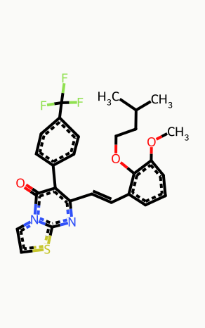 COc1cccc(C=Cc2nc3sccn3c(=O)c2-c2ccc(C(F)(F)F)cc2)c1OCCC(C)C